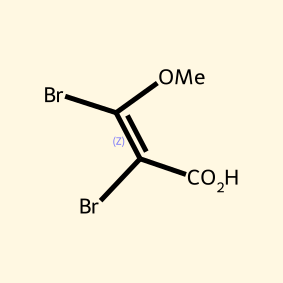 CO/C(Br)=C(/Br)C(=O)O